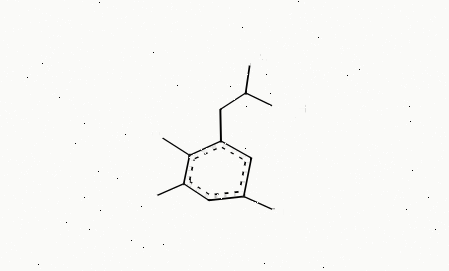 CCc1cc(Br)c(O)c(CC(OC(C)=O)C(=O)O)c1